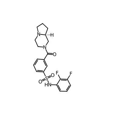 O=C(c1cccc(S(=O)(=O)Nc2cccc(F)c2F)c1)N1CCN2CCC[C@H]2C1